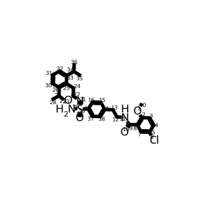 COc1ccc(Cl)cc1C(=O)NCCc1ccc(S(N)(=O)=NC(=O)Cc2c(C(C)C)cccc2C(C)C)cc1